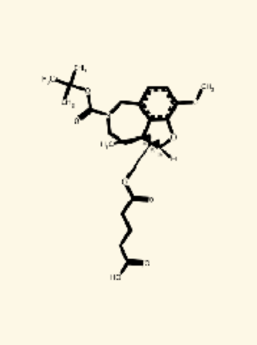 COc1ccc2c3c1O[C@H]1C[C@@H](OC(=O)CCCC(=O)O)C(C)[C@@]31CCN(C(=O)OC(C)(C)C)C2